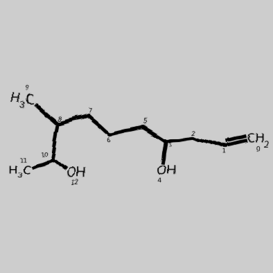 C=CCC(O)CCCC(C)C(C)O